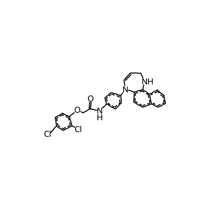 O=C(COc1ccc(Cl)cc1Cl)Nc1ccc(N2C=CCNc3c2ccc2ccccc32)cc1